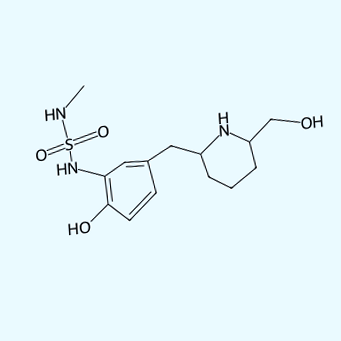 CNS(=O)(=O)Nc1cc(CC2CCCC(CO)N2)ccc1O